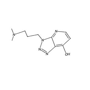 CN(C)CCCn1nnc2c(O)ccnc21